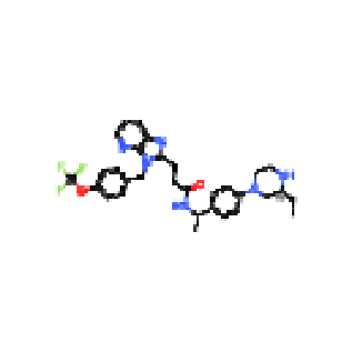 CC[C@H]1CN(c2ccc(C(C)NC(=O)CCc3nc4cccnc4n3Cc3ccc(OC(F)(F)F)cc3)cc2)CCN1